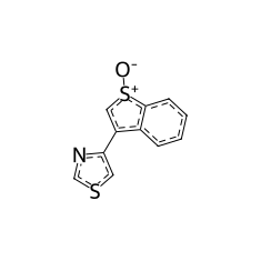 [O-][s+]1cc(-c2cscn2)c2ccccc21